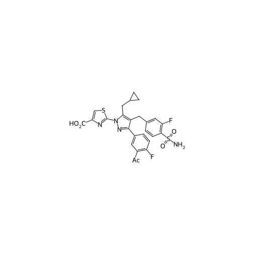 CC(=O)c1cc(-c2nn(-c3nc(C(=O)O)cs3)c(CC3CC3)c2Cc2ccc(S(N)(=O)=O)c(F)c2)ccc1F